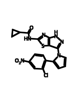 O=C(Nc1nc2[nH]nc(-n3cccc3-c3ccc([N+](=O)[O-])cc3Cl)c2s1)C1CC1